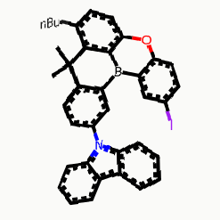 CCCCc1ccc2c3c1C(C)(C)c1ccc(-n4c5ccccc5c5ccccc54)cc1B3c1cc(I)ccc1O2